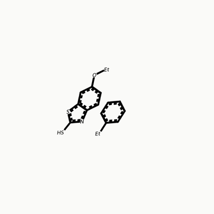 CCOc1ccc2nc(S)sc2c1.CCc1ccccc1